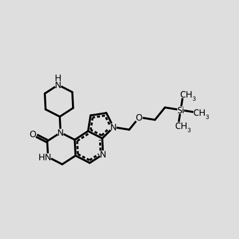 C[Si](C)(C)CCOCn1ccc2c3c(cnc21)CNC(=O)N3C1CCNCC1